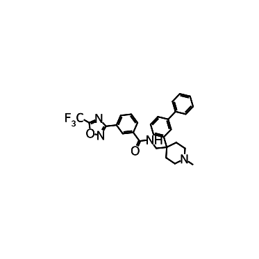 CN1CCC(CNC(=O)c2cccc(-c3noc(C(F)(F)F)n3)c2)(c2cccc(-c3ccccc3)c2)CC1